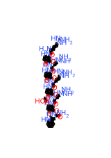 COc1ccc(NC(=O)[C@H](CCCNC(=N)N)NC(=O)c2cc(NC(=O)[C@H](CCCCNC(=N)N)NC(=O)c3cc(NC(=O)[C@H](CCCNC(=N)N)NC(=O)c4cc(NC(=O)[C@@H](N)CCCCNC(=N)N)ccc4OC)ccc3OC)ccc2OCC(=O)O)cc1C(=O)N[C@@H](Cc1c[nH]c2ccccc12)C(N)=O